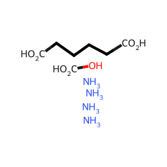 N.N.N.N.O=C(O)CCCCC(=O)O.O=C(O)O